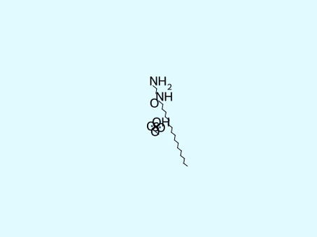 CCCCCCCCCCCCCCCCCC(=O)NCCCN.COS(=O)(=O)O